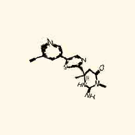 C#Cc1cncc(-c2cnc([C@]3(C)CC(=O)N(C)C(=N)N3)s2)c1